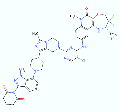 Cc1nc(C2CCN(c3cccc4c(N5C(=O)CCCC5=O)nn(C)c34)CC2)c2n1CCN(c1ncc(Cl)c(Nc3ccc4c(c3)c3c(c(=O)n4C)OCC(F)(F)[C@H](C4CC4)N3)n1)C2